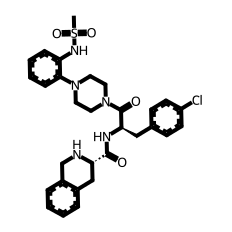 CS(=O)(=O)Nc1ccccc1N1CCN(C(=O)[C@@H](Cc2ccc(Cl)cc2)NC(=O)[C@@H]2Cc3ccccc3CN2)CC1